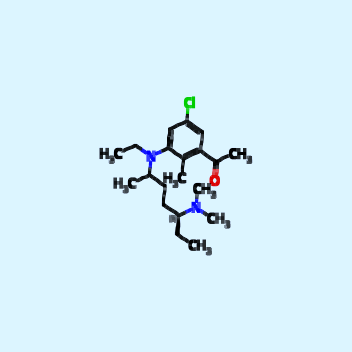 CC[C@@H](CCC(C)N(CC)c1cc(Cl)cc(C(C)=O)c1C)N(C)C